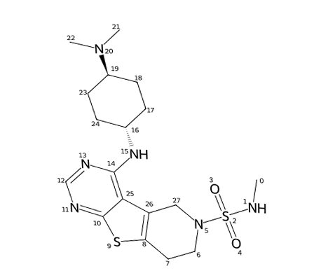 CNS(=O)(=O)N1CCc2sc3ncnc(N[C@H]4CC[C@H](N(C)C)CC4)c3c2C1